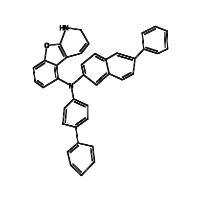 C1=Cc2c(oc3cccc(N(c4ccc(-c5ccccc5)cc4)c4ccc5cc(-c6ccccc6)ccc5c4)c23)NC1